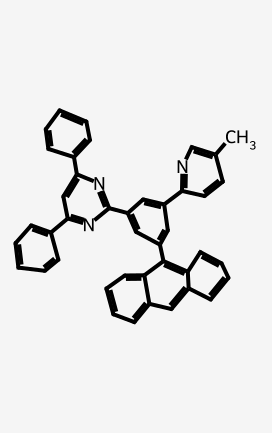 Cc1ccc(-c2cc(-c3nc(-c4ccccc4)cc(-c4ccccc4)n3)cc(-c3c4ccccc4cc4ccccc34)c2)nc1